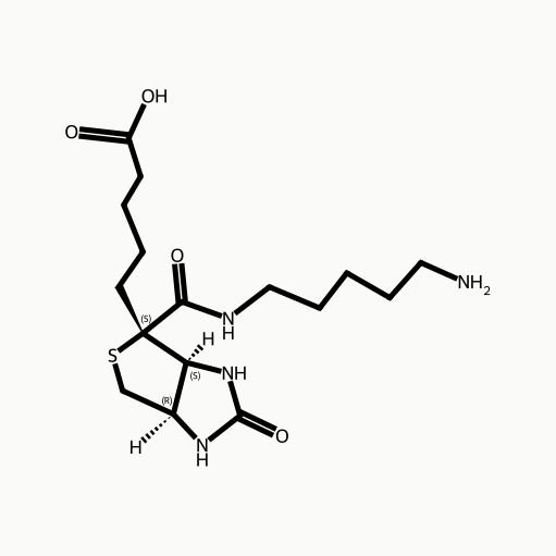 NCCCCCNC(=O)[C@@]1(CCCCC(=O)O)SC[C@@H]2NC(=O)N[C@@H]21